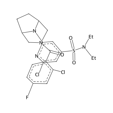 CCN(CC)S(=O)(=O)c1cc(Cl)nc(N2C3CCC2CN(C(=O)c2ccc(F)cc2Cl)C3)c1